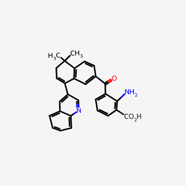 CC1(C)CC=C(c2cnc3ccccc3c2)c2cc(C(=O)c3cccc(C(=O)O)c3N)ccc21